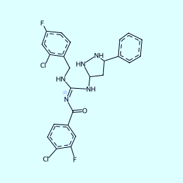 O=C(/N=C(/NCc1ccc(F)cc1Cl)NC1CC(c2ccccc2)NN1)c1ccc(Cl)c(F)c1